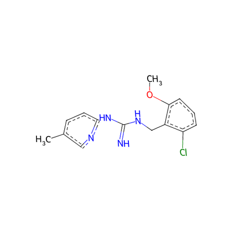 COc1cccc(Cl)c1CNC(=N)Nc1ccc(C)cn1